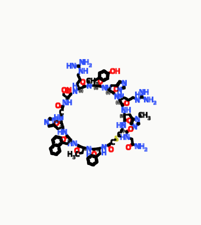 CC[C@@H]1NC(=O)[C@H](Cc2ccccc2)NC(=O)CSC[C@@H](C(=O)NCC(N)=O)NC(=O)[C@H](Cc2cncn2C)NC(=O)[C@H](CCCNC(=N)N)NC(=O)[C@H](Cc2cnc[nH]2)NC(=O)[C@H](Cc2ccc(O)cc2)N(C)C(=O)[C@H](CCCNC(=N)N)NC(=O)[C@H](CO)NC(=O)CNC(=O)[C@H](Cc2cnc[nH]2)NC(=O)[C@H](Cc2cccc3ccccc23)NC1=O